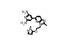 Cc1nc2ccc(-c3cc(N)nc(N)c3)nc2n1CCOc1ccnn1C